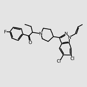 CC=Cn1nc(C2CCN(C(CC)C(=O)c3ccc(F)cc3)CC2)c2cc(Cl)c(Cl)cc21